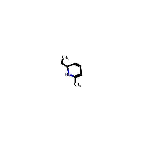 CCC1C=CC=C(C)N1